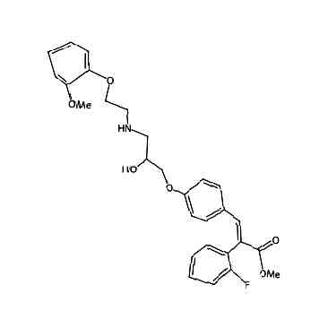 COC(=O)C(=Cc1ccc(OCC(O)CNCCOc2ccccc2OC)cc1)c1ccccc1F